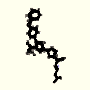 CN(C)C/C=C/C(=O)N1CCC(n2cc(C(N)=O)c(-c3ccc(Oc4ccccc4)cc3)n2)C1